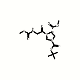 COC(=O)NCC(=O)N1CN(C(=O)OC(C)(C)C)C[C@H]1C(=O)OC